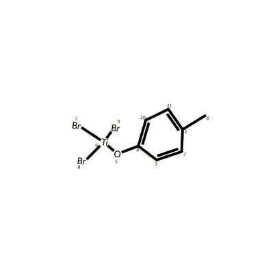 Cc1ccc([O][Ti]([Br])([Br])[Br])cc1